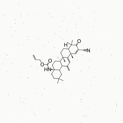 C=CCOC(=O)N[C@]12CCC(C)(C)CC1C1C(=C)C=C3[C@@]4(C)C=C(C#N)C(=O)C(C)(C)[C@@H]4CC[C@@]3(C)[C@]1(C)CC2